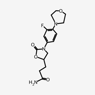 NC(=O)CCC1CN(c2ccc(N3CCOCC3)c(F)c2)C(=O)O1